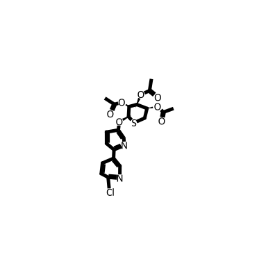 CC(=O)O[C@@H]1[C@@H](OC(C)=O)[C@H](OC(C)=O)CS[C@H]1Oc1ccc(-c2ccc(Cl)nc2)nc1